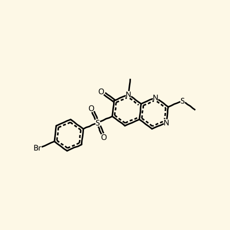 CSc1ncc2cc(S(=O)(=O)c3ccc(Br)cc3)c(=O)n(C)c2n1